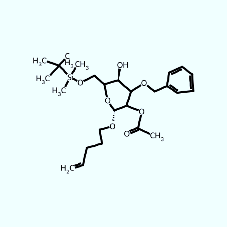 C=CCCCO[C@@H]1OC(CO[Si](C)(C)C(C)(C)C)[C@@H](O)C(OCc2ccccc2)C1OC(C)=O